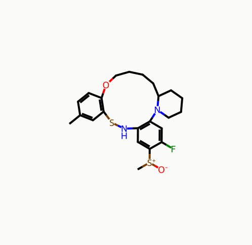 Cc1ccc2c(c1)SNc1cc([S+](C)[O-])c(F)cc1N1CCCCC1CCCCO2